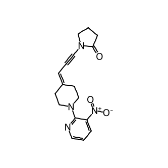 O=C1CCCN1C#CC=C1CCN(c2ncccc2[N+](=O)[O-])CC1